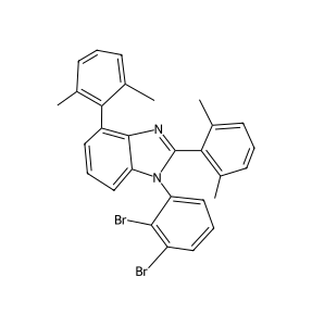 Cc1cccc(C)c1-c1cccc2c1nc(-c1c(C)cccc1C)n2-c1cccc(Br)c1Br